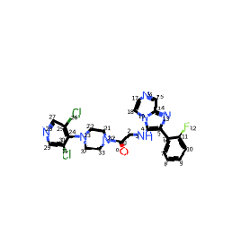 O=C(CNc1c(-c2ccccc2F)nc2cnccn12)N1CCN(c2c(Cl)cncc2Cl)CC1